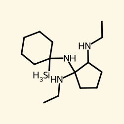 CCNC1CCCC1(NCC)NC1([SiH3])CCCCC1